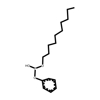 CCCCCCCCCCOP(O)Oc1ccccc1